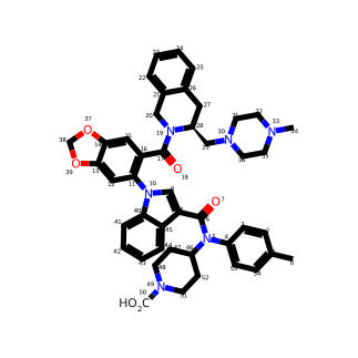 Cc1ccc(N(C(=O)c2cn(-c3cc4c(cc3C(=O)N3Cc5ccccc5C[C@H]3CN3CCN(C)CC3)OCO4)c3ccccc23)C2CCN(C(=O)O)CC2)cc1